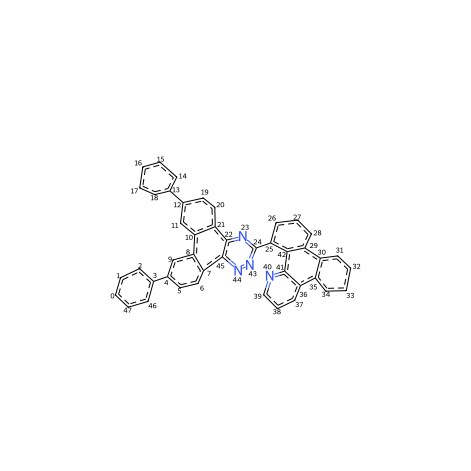 c1ccc(-c2ccc3c(c2)c2cc(-c4ccccc4)ccc2c2nc(-c4cccc5c6ccccc6c6cccnc6c45)nnc32)cc1